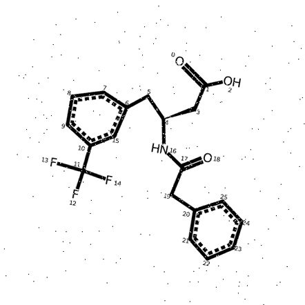 O=C(O)C[C@H](Cc1cccc(C(F)(F)F)c1)NC(=O)Cc1ccccc1